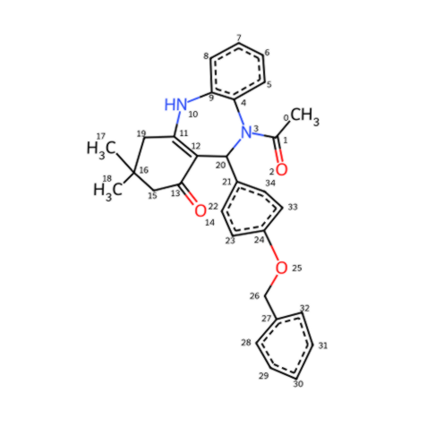 CC(=O)N1c2ccccc2NC2=C(C(=O)CC(C)(C)C2)C1c1ccc(OCc2ccccc2)cc1